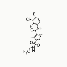 Cc1c(S(=O)(=O)NCC(F)(F)F)cn(C)c1C(=O)Nc1ccc(F)c(Cl)c1F